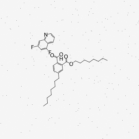 CCCCCCCCOC(=O)c1cc(CCCCCCCC)ccc1C(=O)O.Fc1cc(F)c2cccnc2c1